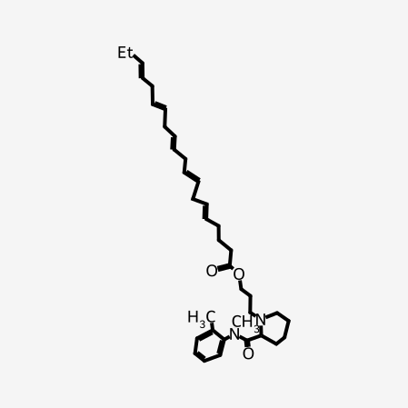 CCC=CCC=CCC=CCC=CCC=CCCCC(=O)OCCCN1CCCCC1C(=O)N(C)c1ccccc1C